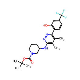 Cc1c(N[C@@H]2CCCN(C(=O)OC(C)(C)C)C2)nnc(-c2ccc(C(F)(F)F)cc2O)c1C